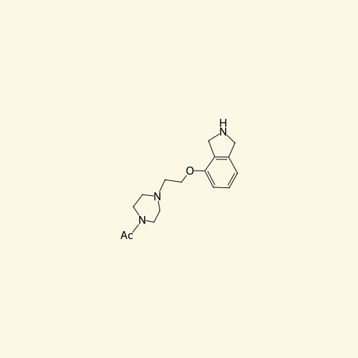 CC(=O)N1CCN(CCOc2cccc3c2CNC3)CC1